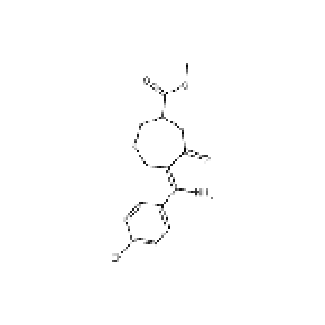 COC(=O)C1CCCC(=C(N)c2ccc(Cl)cc2)C(=O)C1